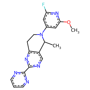 COc1cc(N2CCc3nc(-c4ncccn4)ncc3C2C)cc(F)n1